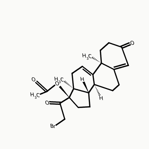 CC(=O)O[C@]1(C(=O)CBr)CC[C@H]2[C@@H]3CCC4=CC(=O)CC[C@]4(C)C3=CC[C@@]21C